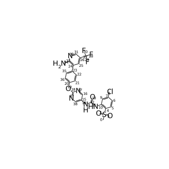 CS(=O)(=O)c1ccc(Cl)cc1NC(=O)Nc1cnc(Oc2ccc(-c3cc(C(F)(F)F)cnc3N)cc2)nc1